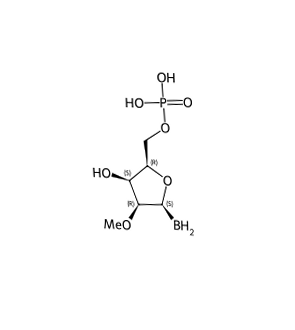 B[C@@H]1O[C@H](COP(=O)(O)O)[C@H](O)[C@@H]1OC